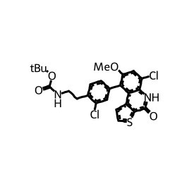 COc1cc(Cl)c2[nH]c(=O)c3sccc3c2c1-c1ccc(CCNC(=O)OC(C)(C)C)c(Cl)c1